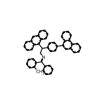 Cc1ccccc1/C(=N\CC(c1ccc(-c2cc3ccccc3c3ccccc23)cc1)c1c2ccccc2cc2ccccc12)c1ccccc1